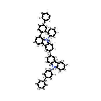 c1ccc(-c2ccc(-c3cccc4c5cc(-c6ccc7c(c6)c6ccccc6n7-c6ccc(-c7ccccc7)cc6)ccc5n(-c5ccccc5)c34)cc2)cc1